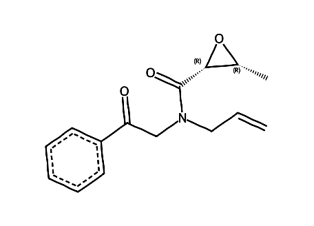 C=CCN(CC(=O)c1ccccc1)C(=O)[C@@H]1O[C@@H]1C